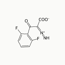 N=[N+]=C(C(=O)[O-])C(=O)c1c(F)cccc1F